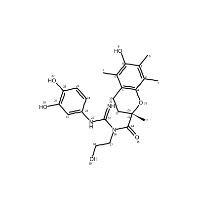 Cc1c(C)c2c(c(C)c1O)CC[C@@](C)(C(=O)N(CCO)C(=N)Nc1ccc(O)c(O)c1)O2